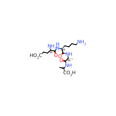 C[C@@H](NC(=O)[C@@H](C)NC(=O)[C@H](CCCCN)NC(=O)[C@H](N)CCC(=O)O)C(=O)O